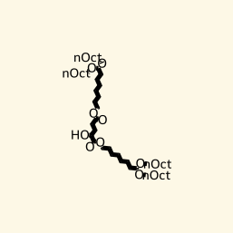 CCCCCCCCOC(CCCCCCCOC(=O)CCC(O)C(=O)OCCCCCCCC(OCCCCCCCC)OCCCCCCCC)OCCCCCCCC